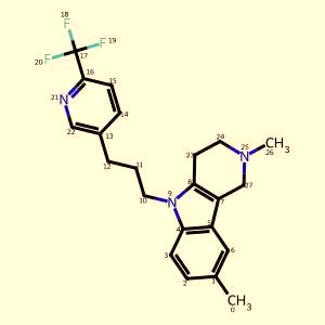 Cc1ccc2c(c1)c1c(n2CCCc2ccc(C(F)(F)F)nc2)CCN(C)C1